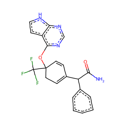 NC(=O)C(C1=CCC(Oc2ncnc3[nH]ccc23)(C(F)(F)F)C=C1)c1ccccc1